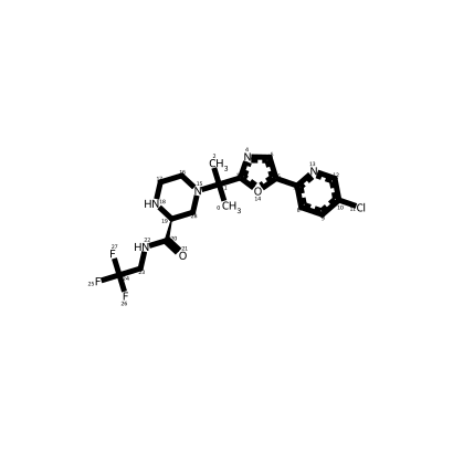 CC(C)(c1ncc(-c2ccc(Cl)cn2)o1)N1CCN[C@H](C(=O)NCC(F)(F)F)C1